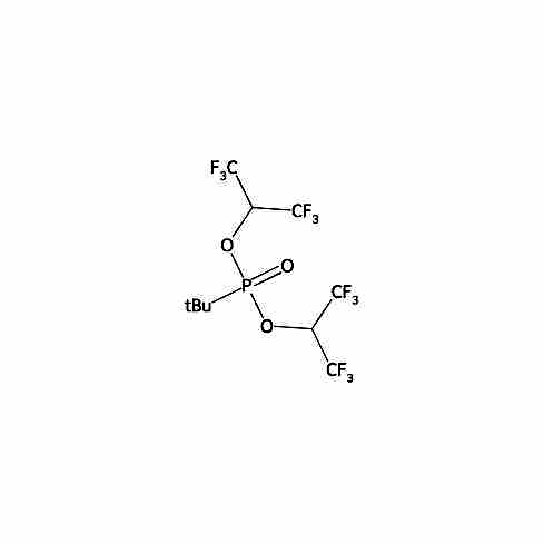 CC(C)(C)P(=O)(OC(C(F)(F)F)C(F)(F)F)OC(C(F)(F)F)C(F)(F)F